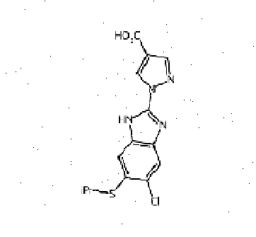 CC(C)Sc1cc2[nH]c(-n3cc(C(=O)O)cn3)nc2cc1Cl